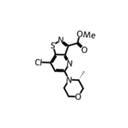 COC(=O)c1nsc2c(Cl)cc(N3CCOC[C@H]3C)nc12